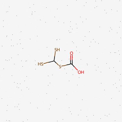 O=C(O)SC(S)S